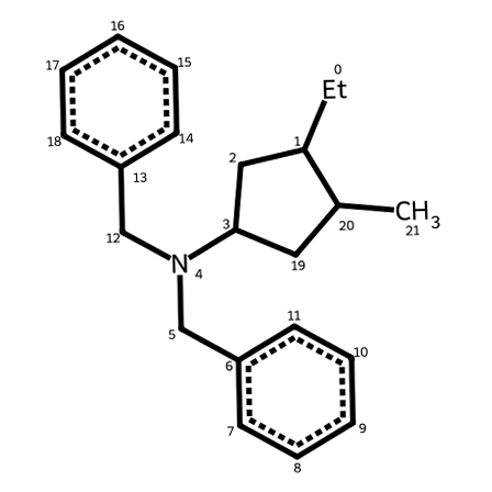 CCC1CC(N(Cc2ccccc2)Cc2ccccc2)CC1C